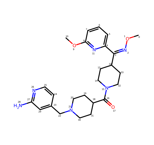 CO/N=C(\c1cccc(OC)n1)C1CCN(C(=O)C2CCN(Cc3ccnc(N)c3)CC2)CC1